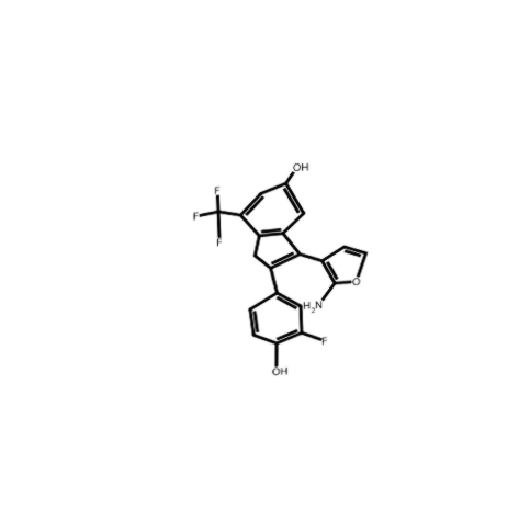 Nc1occc1C1=C(c2ccc(O)c(F)c2)Cc2c1cc(O)cc2C(F)(F)F